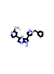 Cc1cc(-c2cnc3[nH]cc(-c4cnn(Cc5ccccc5)c4)c3n2)ccn1